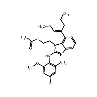 CCC=C(CCC)c1cccc2nc(Nc3c(C)cc(Cl)cc3OC)n(CCOC(C)=O)c12